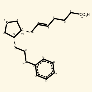 O=C(O)CCCC=CC[C@H]1CSC[C@H]1CCSc1ccccc1